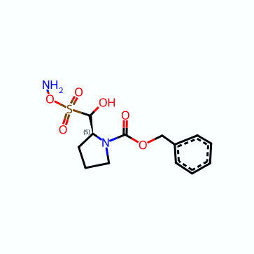 NOS(=O)(=O)C(O)[C@@H]1CCCN1C(=O)OCc1ccccc1